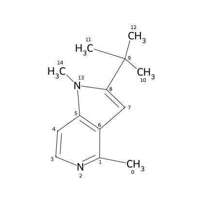 Cc1nccc2c1cc(C(C)(C)C)n2C